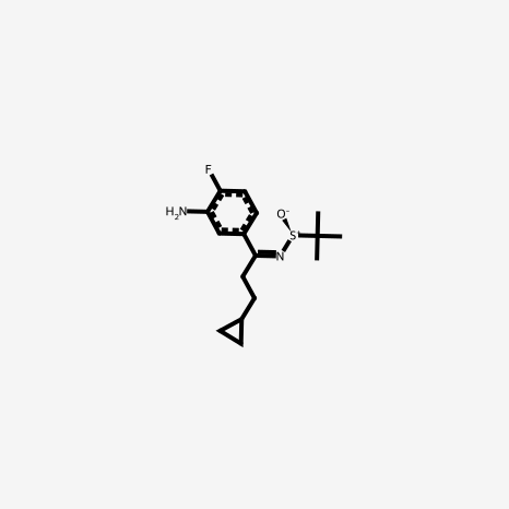 CC(C)(C)[S@+]([O-])/N=C(/CCC1CC1)c1ccc(F)c(N)c1